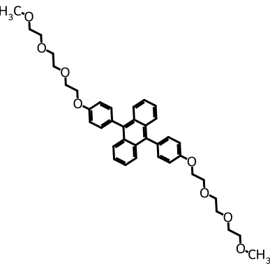 COCCOCCOCCOc1ccc(-c2c3ccccc3c(-c3ccc(OCCOCCOCCOC)cc3)c3ccccc23)cc1